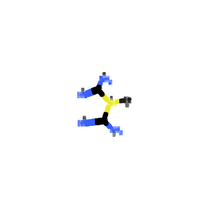 [CH2]C[SH](C(=N)N)C(=N)N